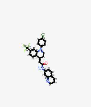 O=C(/C=C1\CCN(c2ccc(Cl)cc2)c2cc(C(F)(F)F)ccc21)Nc1ccc2cccnc2c1